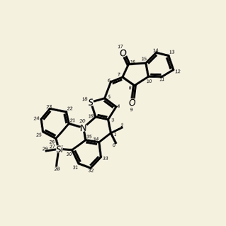 CC1(C)c2cc(C=C3C(=O)c4ccccc4C3=O)sc2N2c3ccccc3[Si](C)(C)c3cccc1c32